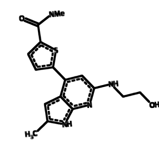 CNC(=O)c1ccc(-c2cc(NCCO)nc3[nH]c(C)cc23)s1